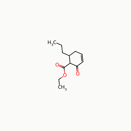 CCCC1CC=CC(=O)C1C(=O)OCC